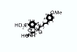 COc1ccc(CCC[C@H]2Sc3ccc(C(=O)O)cc3N(CC(=O)NO)C2=O)cc1